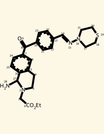 CCOC(=O)CN1CCc2cc(C(=O)c3ccc(C=NN4CCSCC4)cc3)ccc2C1N